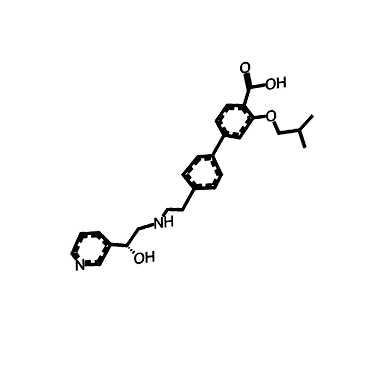 CC(C)COc1cc(-c2ccc(CCNC[C@H](O)c3cccnc3)cc2)ccc1C(=O)O